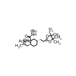 CC(=O)N[C@@]1(C(=O)NC(C)(C)C)C[C@H](CCB2OC(C)(C)C(C)(C)O2)CC[C@H]1CN(C)C